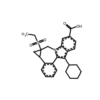 CCS(=O)(=O)C12CC1c1ccccc1-c1c(C3CCCCC3)c3ccc(C(=O)O)cc3n1C2